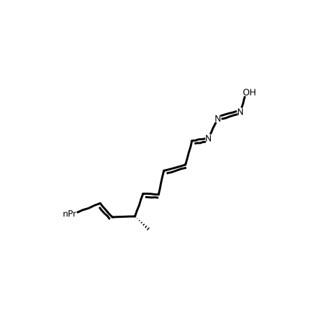 CCC/C=C/[C@@H](C)/C=C/C=C/C=N/N=N/O